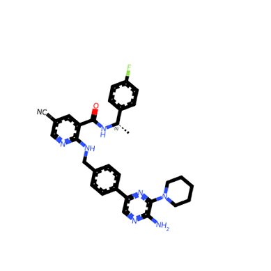 C[C@H](NC(=O)c1cc(C#N)cnc1NCc1ccc(-c2cnc(N)c(N3CCCCC3)n2)cc1)c1ccc(F)cc1